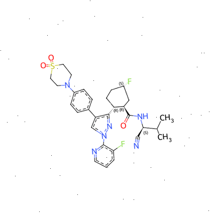 CC(C)[C@@H](C#N)NC(=O)[C@@H]1C[C@@H](F)CC[C@H]1c1nn(-c2ncccc2F)cc1-c1ccc(N2CCS(=O)(=O)CC2)cc1